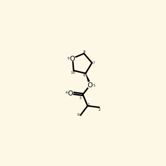 CC(C)C(=O)O[C@@H]1CCOC1